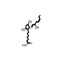 CC/C=C\CC(O)/C=C/[C@H]1C(O)CC(O)C1CCCCCCC(=O)O